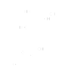 CC(C=CC1=C(C)CCCC1(C)C)=CC=CC(C)=CC(=O)OC[C]=O